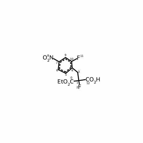 CCOC(=O)C(F)(Cc1ccc([N+](=O)[O-])cc1F)C(=O)O